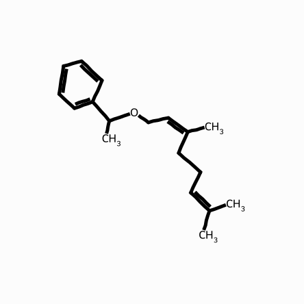 CC(C)=CCCC(C)=CCOC(C)c1ccccc1